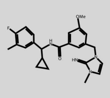 COc1cc(Cn2ccn(C)c2=N)cc(C(=O)NC(c2ccc(F)c(C)c2)C2CC2)c1